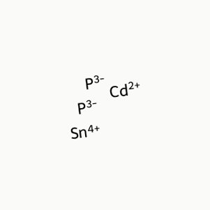 [Cd+2].[P-3].[P-3].[Sn+4]